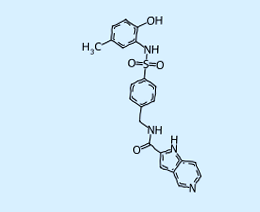 Cc1ccc(O)c(NS(=O)(=O)c2ccc(CNC(=O)c3cc4cnccc4[nH]3)cc2)c1